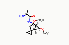 C[C@H](N)C(=O)N[C@]1(OC(=O)O)CC2(CC2)[C@@H]2[C@H](OC(=O)O)[C@H]21